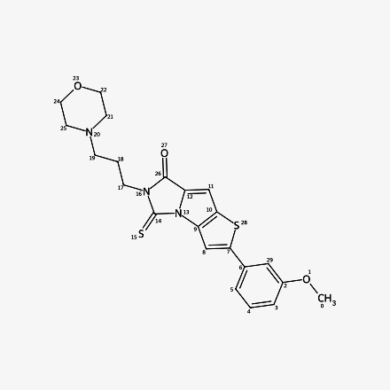 COc1cccc(-c2cc3c(cc4n3C(=S)N(CCCN3CCOCC3)C4=O)s2)c1